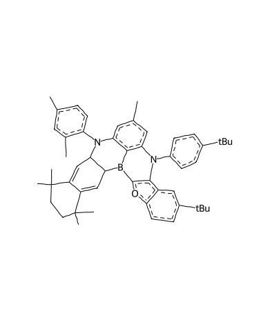 Cc1ccc(N2c3cc(C)cc4c3B(c3oc5ccc(C(C)(C)C)cc5c3N4c3ccc(C(C)(C)C)cc3)C3C=C4C(=CC32)C(C)(C)CCC4(C)C)c(C)c1